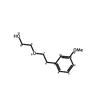 COc1cccc(CCOCCO)c1